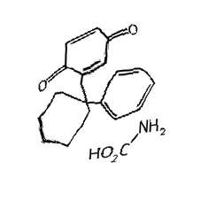 NC(=O)O.O=C1C=CC(=O)C(C2(c3ccccc3)CCCCC2)=C1